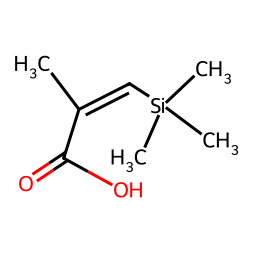 CC(=C[Si](C)(C)C)C(=O)O